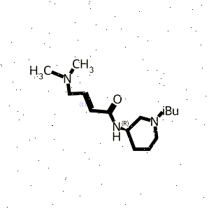 CCC(C)N1CCC[C@@H](NC(=O)/C=C/CN(C)C)C1